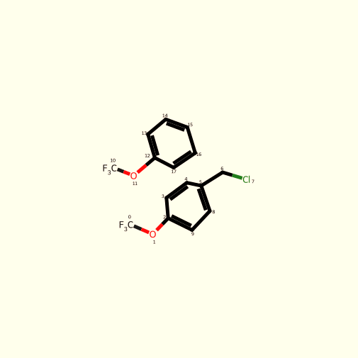 FC(F)(F)Oc1ccc(CCl)cc1.FC(F)(F)Oc1ccccc1